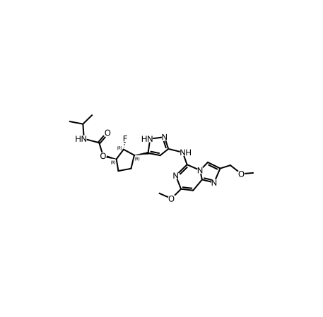 COCc1cn2c(Nc3cc([C@H]4CC[C@@H](OC(=O)NC(C)C)[C@@H]4F)[nH]n3)nc(OC)cc2n1